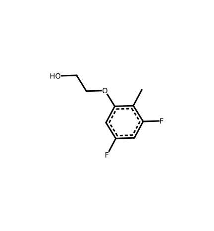 Cc1c(F)cc(F)cc1OCCO